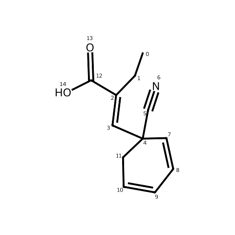 CCC(=CC1(C#N)C=CC=CC1)C(=O)O